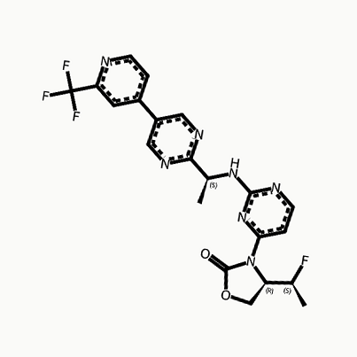 C[C@H](Nc1nccc(N2C(=O)OC[C@@H]2[C@H](C)F)n1)c1ncc(-c2ccnc(C(F)(F)F)c2)cn1